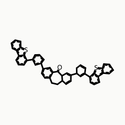 O=C1c2cc(-c3cccc(-c4cccc5c4sc4ccccc45)c3)ccc2CCC2C=CC(C3C=C(c4cccc5c4sc4ccccc45)C=CC3)=CC12